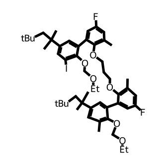 CCOCOc1c(C)cc(C(C)(C)CC(C)(C)C)cc1-c1cc(F)cc(C)c1OCCCOc1c(C)cc(F)cc1-c1cc(C(C)(C)CC(C)(C)C)cc(I)c1OCOCC